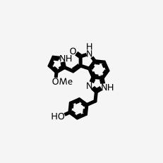 COc1cc[nH]c1C=C1C(=O)Nc2ccc3[nH]c(Cc4ccc(O)cc4)nc3c21